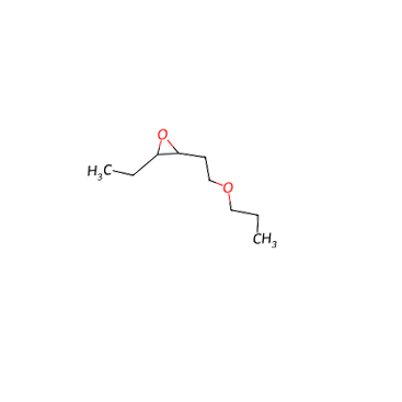 CCCOCCC1OC1CC